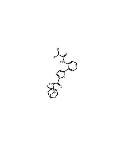 O=C(N[C@H]1CN2CCC1CC2)c1ccc(-c2ccccc2NC(=O)C(F)F)s1